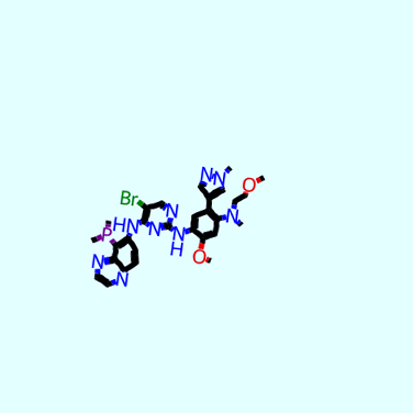 COCCN(C)c1cc(OC)c(Nc2ncc(Br)c(Nc3ccc4nccnc4c3P(C)C)n2)cc1-c1cnn(C)c1